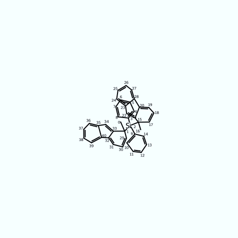 CC1([Si](c2ccccc2)(c2ccccc2)C2(C)C=CC=C3C2=Cc2ccccc23)C=CC=C2C1=Cc1ccccc12